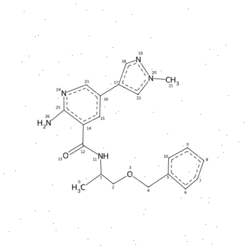 CC(COCc1ccccc1)NC(=O)c1cc(-c2cnn(C)c2)cnc1N